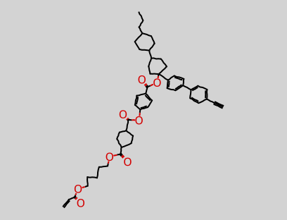 C#Cc1ccc(-c2ccc(C3(OC(=O)c4ccc(OC(=O)C5CCC(C(=O)OCCCCCOC(=O)C=C)CC5)cc4)CCC(C4CCC(CCC)CC4)CC3)cc2)cc1